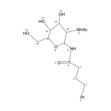 CC(=O)CCCC(=O)NC1OC(CO)C(O)C(O)C1NC(C)=O